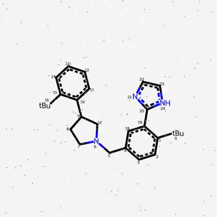 CC(C)(C)c1ccc(CN2CCC(c3ccccc3C(C)(C)C)C2)cc1-c1ncc[nH]1